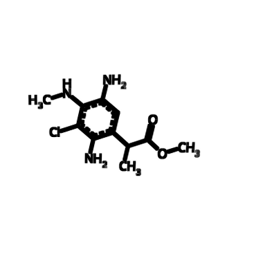 CNc1c(N)cc(C(C)C(=O)OC)c(N)c1Cl